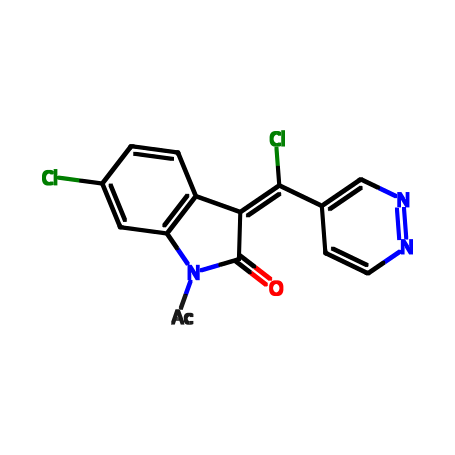 CC(=O)N1C(=O)C(=C(Cl)c2ccnnc2)c2ccc(Cl)cc21